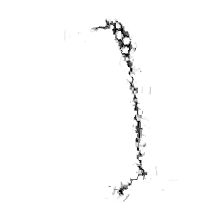 CCC(=O)NCCCC[C@H](NC(=O)COCCOCCNC(=O)COCCOCCNC(=O)CCC(=O)NO[C@H]1CC[C@]2(C)C3CC[C@@]4(C)C(CC[C@@H]4C(C)CCC(=O)O)[C@@H]3CC[C@@H]2C1)C(=O)O